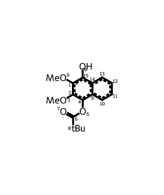 COc1c(OC)c(OC(=O)C(C)(C)C)c2ccccc2c1O